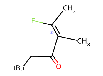 C/C(F)=C(\C)C(=O)CC(C)(C)C